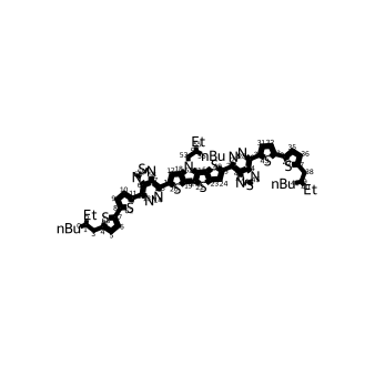 CCCCC(CC)Cc1ccc(-c2ccc(-c3nnc(-c4cc5c(s4)c4sc6cc(-c7nnc(-c8ccc(-c9ccc(CC(CC)CCCC)s9)s8)c8nsnc78)sc6c4n5CC(CC)CCCC)c4nsnc34)s2)s1